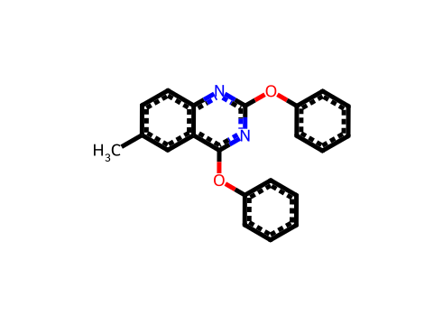 Cc1ccc2nc(Oc3ccccc3)nc(Oc3ccccc3)c2c1